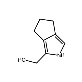 OCc1[nH]cc2c1CCC2